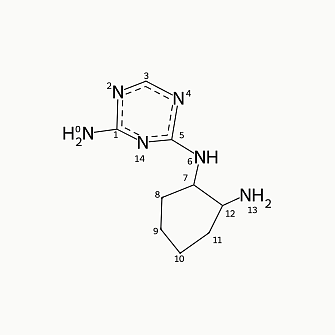 Nc1ncnc(NC2CCCCC2N)n1